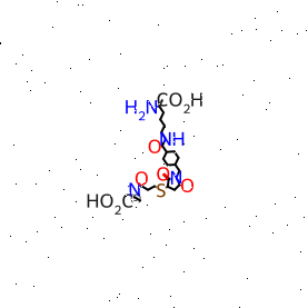 C[C@@H](C(=O)O)N(C)C(=O)CCSC1CC(=O)N(CC2CCC(C(=O)NCCCCC(N)C(=O)O)CC2)C1=O